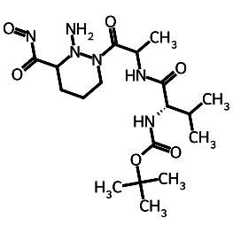 CC(NC(=O)[C@@H](NC(=O)OC(C)(C)C)C(C)C)C(=O)N1CCCC(C(=O)N=O)N1N